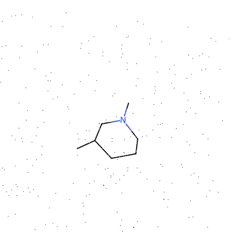 CC1[CH]N(C)CCC1